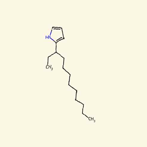 CCCCCCCCCC(CC)c1ccc[nH]1